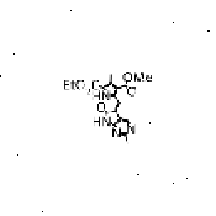 CCOC(=O)c1[nH]c(C=C2C(=O)Nc3nc(C)ncc32)c(C(=O)OC)c1C